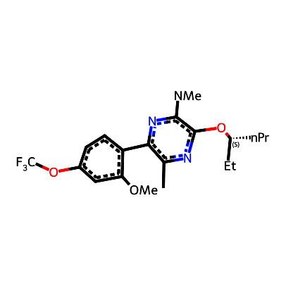 CCC[C@H](CC)Oc1nc(C)c(-c2ccc(OC(F)(F)F)cc2OC)nc1NC